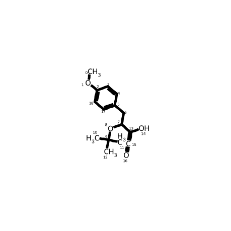 COc1ccc(CC(OC(C)(C)C)C(O)=C=O)cc1